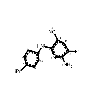 CC(C)c1ccc(Nc2nc(N)c(F)cc2C#N)cc1